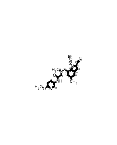 COc1ccc(NC(=O)CN(C)Sc2cc(C)cc3cc(C#N)n(SOI)c23)cn1